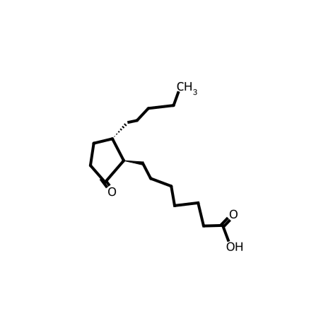 CCCCC[C@H]1CCC(=O)[C@@H]1CCCCCCC(=O)O